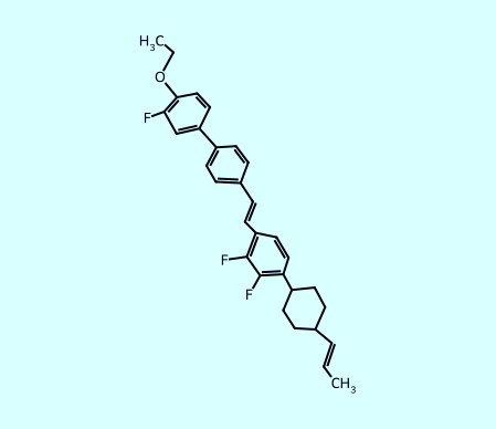 C/C=C/C1CCC(c2ccc(/C=C/c3ccc(-c4ccc(OCC)c(F)c4)cc3)c(F)c2F)CC1